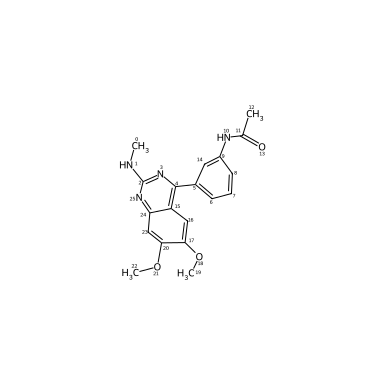 CNc1nc(-c2cccc(NC(C)=O)c2)c2cc(OC)c(OC)cc2n1